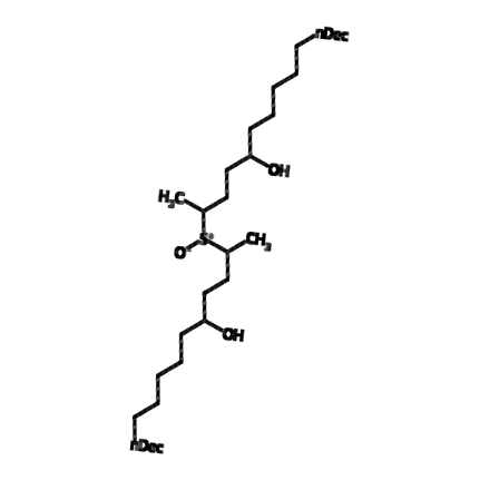 CCCCCCCCCCCCCCCC(O)CCC(C)[S+]([O-])C(C)CCC(O)CCCCCCCCCCCCCCC